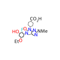 CCOc1cc(O)c(F)c(N2Cc3cnc(NC)nc3N(C3CCC(C(=O)O)CC3)C2=O)c1